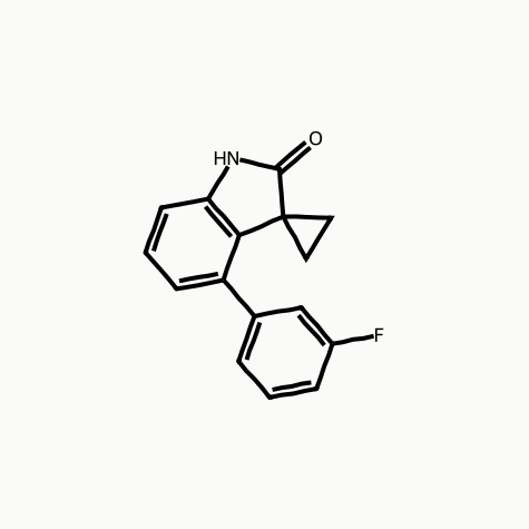 O=C1Nc2cccc(-c3cccc(F)c3)c2C12CC2